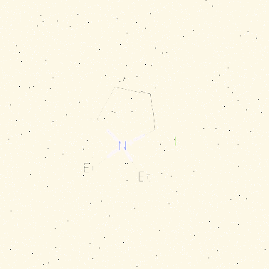 CC[N+]1(CC)CCCC1.[F-]